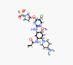 C=CC(=O)Nc1cc(Nc2ncc(Cl)c(O[C@@H]3CCN(S(C)(=O)=O)C3)n2)c(OC)cc1N1CCC(N(C)C)CC1